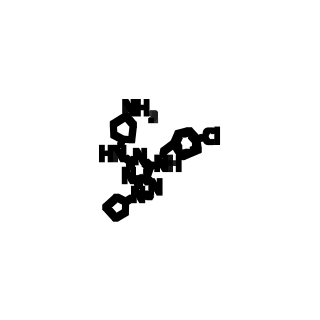 NC1CCC(Nc2nc(NCc3ccc(Cl)cc3)c3ncn(C4CCCC4)c3n2)CC1